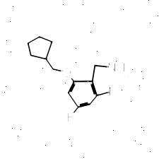 NCc1c(F)cc(F)cc1OCC1CCCC1